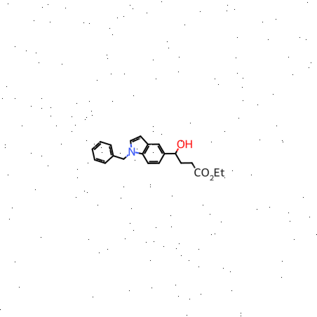 CCOC(=O)CCC(O)c1ccc2c(ccn2Cc2ccccc2)c1